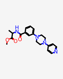 COC(=O)C(C)NC(=O)c1cccc(N2CCN(c3ccncc3)CC2)c1